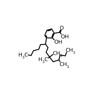 CCCCCC(CCC(C)(C)CC(C)CCC)c1cccc(C(=O)O)c1O